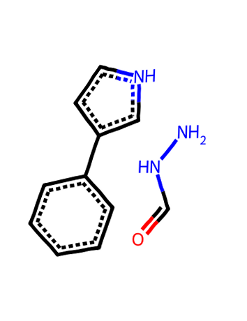 NNC=O.c1ccc(-c2cc[nH]c2)cc1